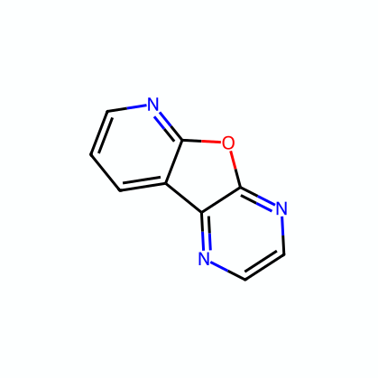 c1cnc2oc3nccnc3c2c1